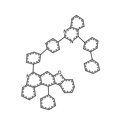 c1ccc(-c2cccc(-c3nc(-c4ccc(-c5cccc(-c6nc7ccccc7c7c(-c8ccccc8)c8c(cc67)oc6ccccc68)c5)cc4)nc4ccccc34)c2)cc1